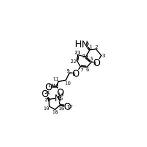 N=C1CCOc2cc(OCCCC(=O)ON3C(=O)CCC3=O)ccc21